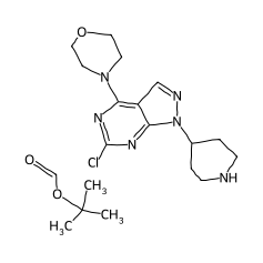 CC(C)(C)OC=O.Clc1nc(N2CCOCC2)c2cnn(C3CCNCC3)c2n1